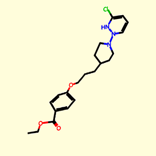 CCOC(=O)c1ccc(OCCCC2CCN(N3C=CC=C(Cl)N3)CC2)cc1